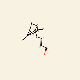 CC12C3CC(CC31)[C@]2(C)C/C=C/C=O